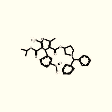 CC1=C(C(=O)OC2CCN(C(c3ccccc3)c3ccccc3)C2)C(c2cccc([N+](=O)[O-])c2)C(C(=O)OC(C)C)=C(N)N1